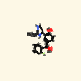 CNc1nccc(-c2cc(C(=O)c3ccc(C)cc3F)ccc2O)n1